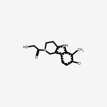 Cc1c(Cl)ccc2c3c([nH]c12)CCN(C(=O)CO)C3